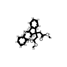 COC(=O)CC1(CC(=O)OC)c2ccccc2-c2nc3ccccc3nc21